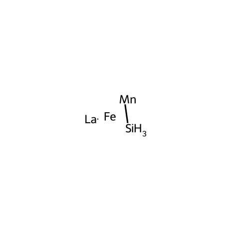 [Fe].[La].[SiH3][Mn]